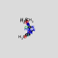 COc1ccc(CN(c2nc(Nc3cc(C#N)cc(N4CCN(C(=O)OC(C)(C)C)CC4)c3Cl)nc3c(C#N)cnn23)[C@@H]2C[C@@H]2F)cc1